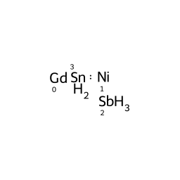 [Gd].[Ni].[SbH3].[SnH2]